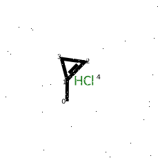 CC1=CC1.Cl